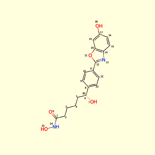 O=C(CCCC[C@@H](O)c1ccc(-c2nc3ccc(O)cc3o2)cc1)NO